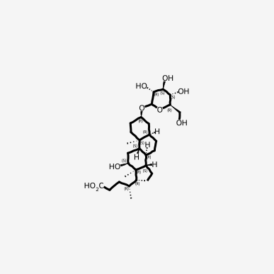 C[C@H](CCC(=O)O)[C@H]1CC[C@H]2[C@@H]3CC[C@@H]4C[C@H](OC5O[C@H](CO)[C@@H](O)[C@H](O)[C@H]5O)CC[C@]4(C)[C@H]3C[C@H](O)[C@]12C